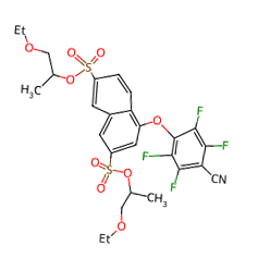 CCOCC(C)OS(=O)(=O)c1ccc2c(Oc3c(F)c(F)c(C#N)c(F)c3F)cc(S(=O)(=O)OC(C)COCC)cc2c1